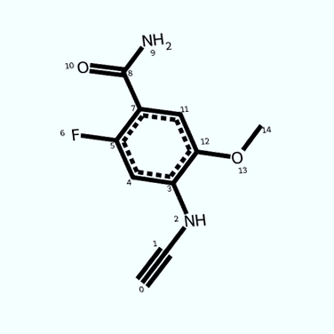 C#CNc1cc(F)c(C(N)=O)cc1OC